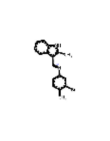 Cc1ccc(/N=C/c2c(C)[nH]c3ccccc23)cc1Br